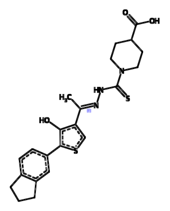 C/C(=N\NC(=S)N1CCC(C(=O)O)CC1)c1csc(-c2ccc3c(c2)CCC3)c1O